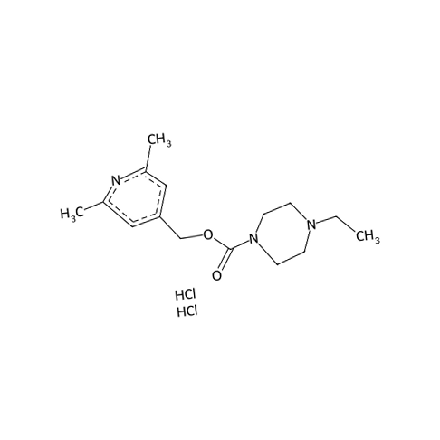 CCN1CCN(C(=O)OCc2cc(C)nc(C)c2)CC1.Cl.Cl